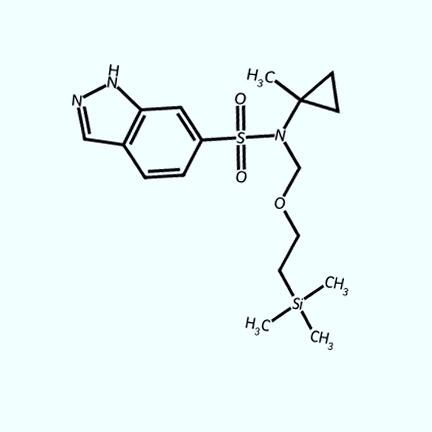 CC1(N(COCC[Si](C)(C)C)S(=O)(=O)c2ccc3cn[nH]c3c2)CC1